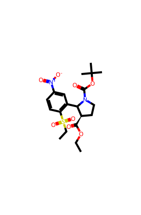 CCOC(=O)[C@@H]1CCN(C(=O)OC(C)(C)C)C1c1cc([N+](=O)[O-])ccc1S(=O)(=O)CC